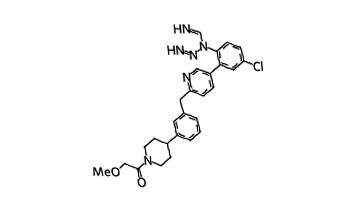 COCC(=O)N1CCC(c2cccc(Cc3ccc(-c4cc(Cl)ccc4N(C=N)N=N)cn3)c2)CC1